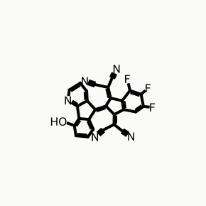 N#CC(C#N)=C1/C(=C2/c3cccnc3-c3c(O)cccc32)C(=C(C#N)C#N)c2c1cc(F)c(F)c2F